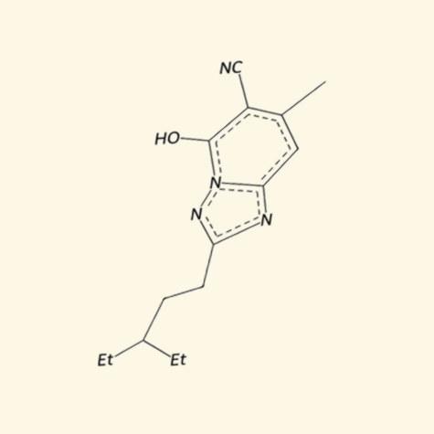 CCC(CC)CCc1nc2cc(C)c(C#N)c(O)n2n1